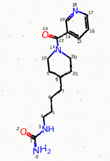 NC(=O)NCCCCC1CCN(C(=O)c2cccnc2)CC1